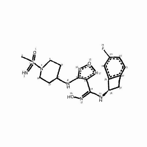 CS(=N)(=O)N1CCC(Nc2nonc2/C(=N\O)N[C@@H]2Cc3ccc(F)cc32)CC1